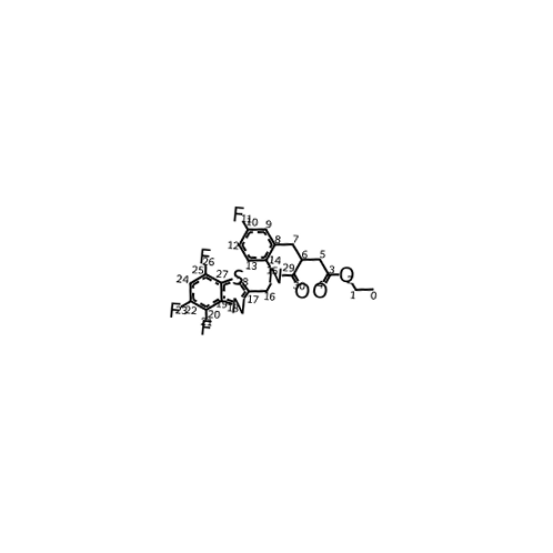 CCOC(=O)CC1Cc2cc(F)ccc2N(Cc2nc3c(F)c(F)cc(F)c3s2)C1=O